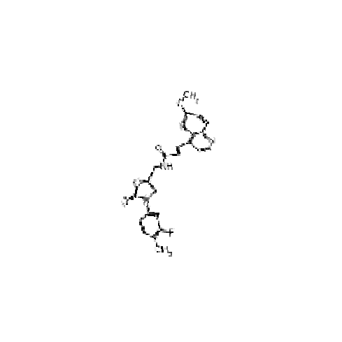 COc1ccc2nccc(C=CC(=O)NCC3CN(c4ccc(C)c(F)c4)C(=O)O3)c2n1